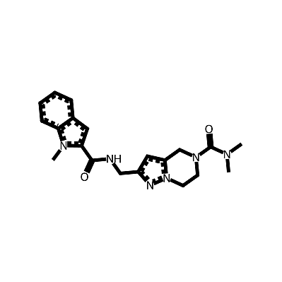 CN(C)C(=O)N1CCn2nc(CNC(=O)c3cc4ccccc4n3C)cc2C1